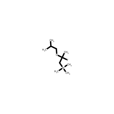 CC(C)COC(C)(F)C[N+](C)(C)C